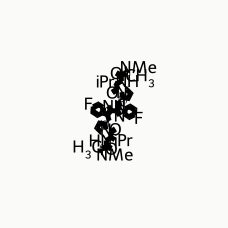 CN[C@@H](C)C(=O)NC(C(=O)N1CCC[C@H]1Cc1c(-c2nc3cc(F)ccc3n2C[C@@H]2CCCN2C(=O)C(NC(=O)[C@H](C)NC)C(C)C)[nH]c2cc(F)ccc12)C(C)C